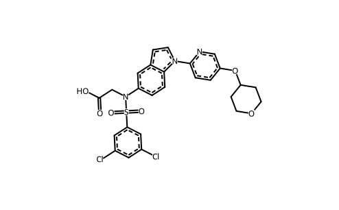 O=C(O)CN(c1ccc2c(ccn2-c2ccc(OC3CCOCC3)cn2)c1)S(=O)(=O)c1cc(Cl)cc(Cl)c1